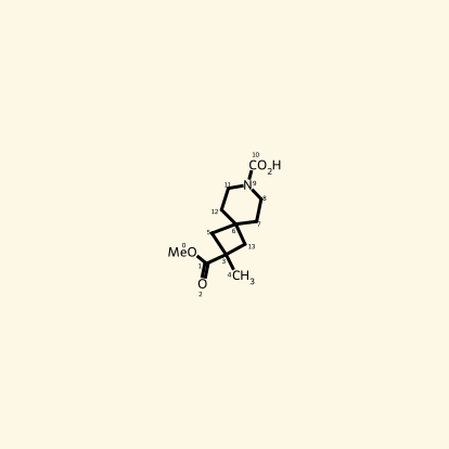 COC(=O)C1(C)CC2(CCN(C(=O)O)CC2)C1